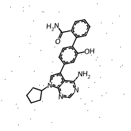 NC(=O)c1ccccc1-c1ccc(-c2cn(C3CCCC3)c3ncnc(N)c23)cc1O